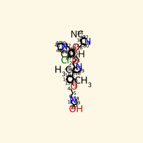 Cc1c(OCCCN2CC[C@@H](O)C2)cccc1-c1ccnc(COc2cc(OCc3cncc(C#N)c3)c(CN3CCCC[C@H]3C(=O)O)cc2Cl)c1C